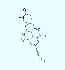 CC#Cc1cc(C)c(C2C(=O)CC3(CCC(=O)NC3)CC2=O)c(C)c1